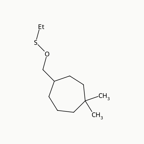 CCSOCC1CCCC(C)(C)CC1